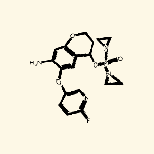 Nc1cc2c(cc1Oc1ccc(F)nc1)C(OP(=O)(N1CC1)N1CC1)CCO2